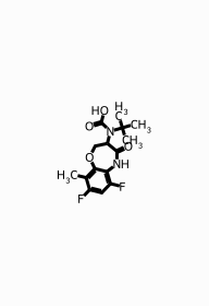 Cc1c(F)cc(F)c2c1OCC(N(C(=O)O)C(C)(C)C)C(=O)N2